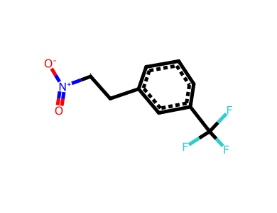 O=[N+]([O-])[CH]Cc1cccc(C(F)(F)F)c1